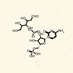 CCN(CC)CC.Nc1ccn([C@@H]2O[C@H](COP(=O)(O)O)[C@@H](O)[C@H]2O)c(=O)n1.O=CCC(O)C(O)C(O)CO